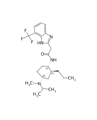 CCC[C@H]1C[C@H](N(C)C(C)C)CC[C@@H]1NC(=O)Cc1nc2cccc(C(F)(F)F)c2[nH]1